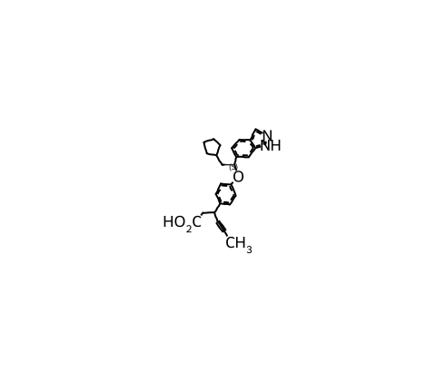 CC#CC(CC(=O)O)c1ccc(O[C@@H](CC2CCCC2)c2ccc3cn[nH]c3c2)cc1